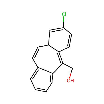 OCC1=C2C=CC(Cl)=CC2C=Cc2ccccc21